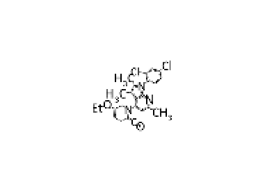 CCOC1=CCC(=C=O)N(c2cc(C)nc3c2c(C)c(C)n3-c2ccc(Cl)cc2Cl)C1